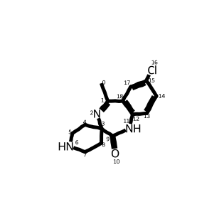 CC1=NC2(CCNCC2)C(=O)Nc2ccc(Cl)cc21